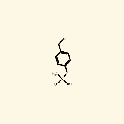 CC(C)(C)[Si](C)(C)Oc1ccc(CBr)cc1